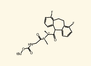 C[C@@H](C(=O)C1c2cccc(F)c2CCc2c(F)cccc21)N(C)C(=O)CNC(=O)OC(C)(C)C